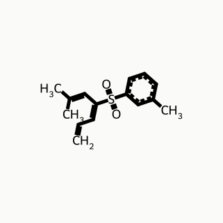 C=C/C=C(\C=C(C)C)S(=O)(=O)c1cccc(C)c1